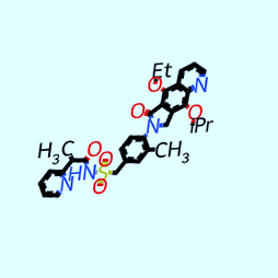 CCOc1c2c(c(OC(C)C)c3ncccc13)CN(c1ccc(CS(=O)(=O)NC(=O)C(C)c3ccccn3)cc1C)C2=O